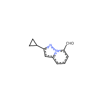 O=Cc1cccc2cc(C3CC3)nn12